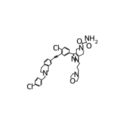 NC(=O)C(=O)N1CCc2c(c(-c3ccc(Cl)c(C#Cc4ccc5c(c4)CN(Cc4ccc(Cl)cc4)CC5)c3)nn2CCCN2CCOCC2)C1